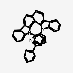 c1ccc(-c2ccc(-n3c4ccccc4c4ccc5ccc6c7ccccc7n(-c7ccccc7)c6c5c43)cn2)cc1